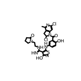 Cc1nc(Cl)cc2c1CC(Cl)N2C(=O)c1cc(Nc2snc(O)c2C(=N)NCCN2CCCC2=O)ccc1O